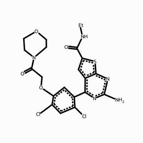 CCNC(=O)c1cc2c(-c3cc(OCC(=O)N4CCOCC4)c(Cl)cc3Cl)nc(N)nc2s1